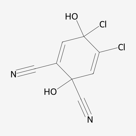 N#CC1=CC(O)(Cl)C(Cl)=CC1(O)C#N